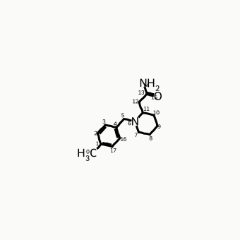 Cc1ccc(CN2CCCCC2CC(N)=O)cc1